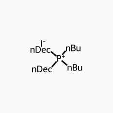 CCCCCCCCCC[P+](CCCC)(CCCC)CCCCCCCCCC.[I-]